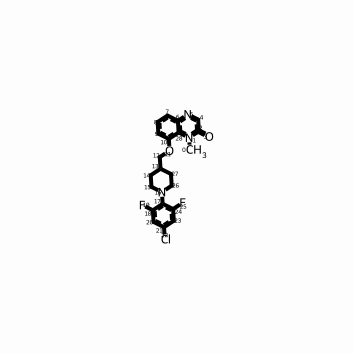 Cn1c(=O)cnc2cccc(OCC3CCN(c4c(F)cc(Cl)cc4F)CC3)c21